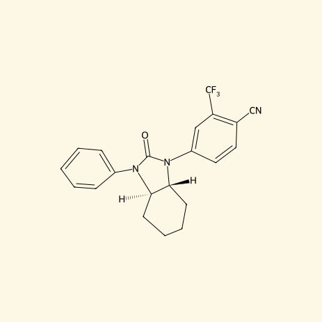 N#Cc1ccc(N2C(=O)N(c3ccccc3)[C@@H]3CCCC[C@H]32)cc1C(F)(F)F